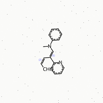 CN(/C=C(\C=C/C=O)c1ccccn1)c1ccccc1